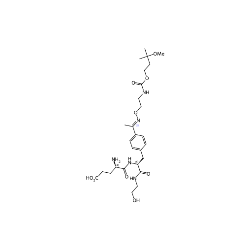 COC(C)(C)CCOC(=O)NCCO/N=C(\C)c1ccc(C[C@H](NC(=O)[C@H](N)CCC(=O)O)C(=O)NCCO)cc1